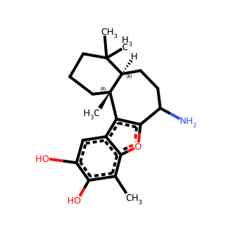 Cc1c(O)c(O)cc2c3c(oc12)C(N)CC[C@@H]1C(C)(C)CCC[C@@]31C